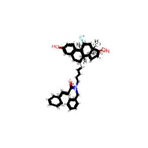 C[C@]12C[C@H](F)[C@@H]3c4ccc(O)cc4C[C@@H](CCCCCN(Cc4ccccc4)C(=O)CCC4CCCCC4)[C@H]3[C@@H]1CC[C@@H]2O